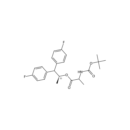 CC(NC(=O)OC(C)(C)C)C(=O)O[C@@H](C)C(c1ccc(F)cc1)c1ccc(F)cc1